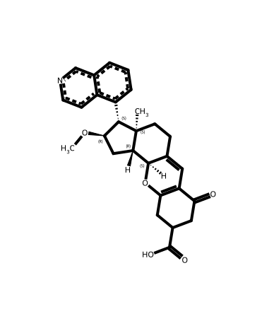 CO[C@@H]1C[C@H]2[C@@H]3OC4=C(C=C3CC[C@]2(C)[C@H]1c1cccc2cnccc12)C(=O)CC(C(=O)O)C4